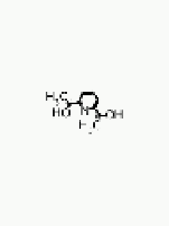 C[C@@H](O)c1cccc([C@@H](C)O)n1